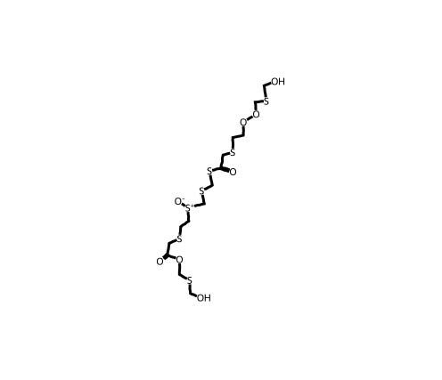 O=C(CSCC[S+]([O-])CSCSC(=O)CSCCOOCSCO)OCSCO